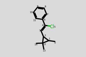 CC1C(C=C(Cl)c2ccccc2)C1(C)C